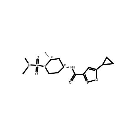 C[C@@H]1C[C@H](NC(=O)c2cc(C3CC3)on2)CCN1S(=O)(=O)N(C)C